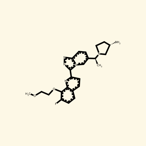 COCCOc1c(F)ccc2ccc(-c3nnc4ccc([C@H](C)N5CC[C@H](N)C5)cn34)nc12